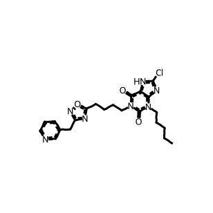 CCCCCn1c(=O)n(CCCCc2nc(Cc3cccnc3)no2)c(=O)c2[nH]c(Cl)nc21